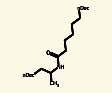 CCCCCCCCCCCCCCCC(=O)NC(C)CCCCCCCCCCC